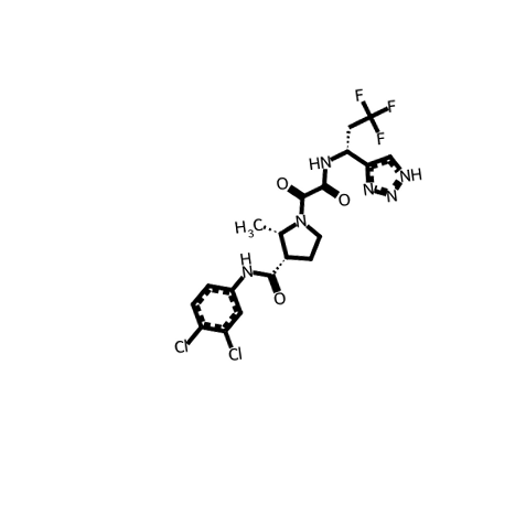 C[C@H]1[C@@H](C(=O)Nc2ccc(Cl)c(Cl)c2)CCN1C(=O)C(=O)N[C@H](CC(F)(F)F)c1c[nH]nn1